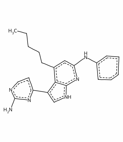 CCCCCc1cc(Nc2ccccc2)nc2[nH]cc(-c3ccnc(N)n3)c12